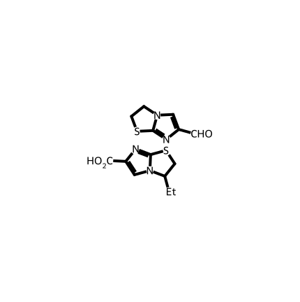 CCC1CSc2nc(C(=O)O)cn21.O=Cc1cn2c(n1)SCC2